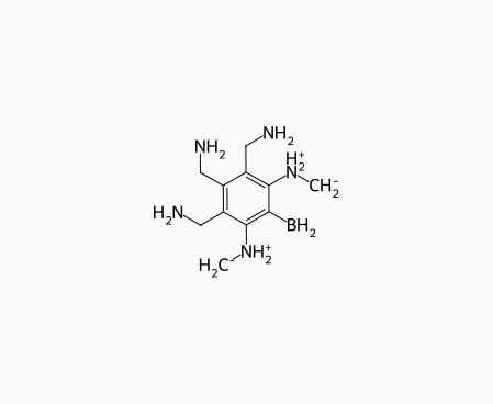 Bc1c([NH2+][CH2-])c(CN)c(CN)c(CN)c1[NH2+][CH2-]